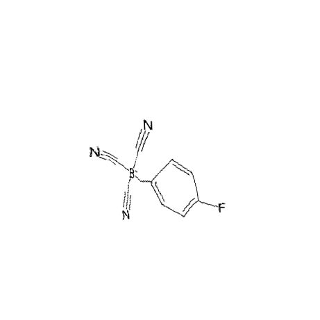 N#C[B-](C#N)(C#N)c1ccc(F)cc1